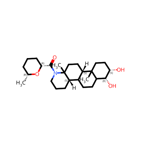 C[C@@H]1CCC[C@H](C(=O)N2CCC[C@H]3C4CCC5[C@@H](O)[C@@H](O)CCC5(C)[C@H]4CCC32C)O1